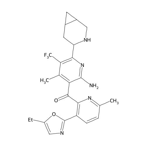 CCc1cnc(-c2ccc(C)nc2C(=O)c2c(N)nc(C3CC4CC4CN3)c(C(F)(F)F)c2C)o1